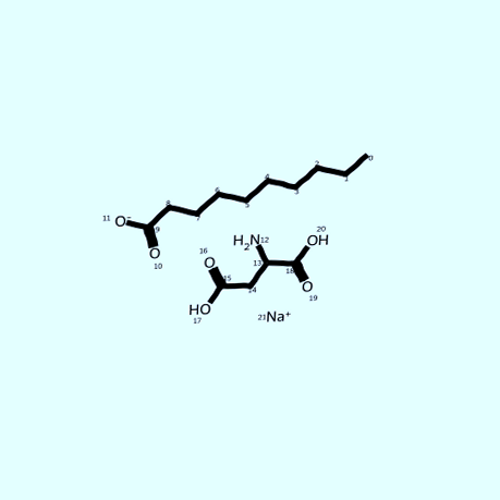 CCCCCCCCCC(=O)[O-].NC(CC(=O)O)C(=O)O.[Na+]